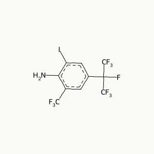 Nc1c(I)cc(C(F)(C(F)(F)F)C(F)(F)F)cc1C(F)(F)F